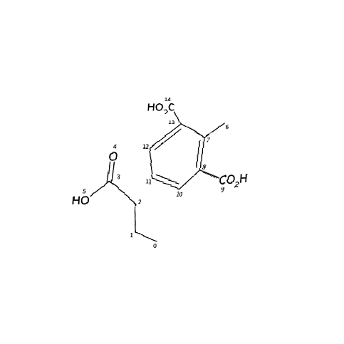 CCCC(=O)O.Cc1c(C(=O)O)cccc1C(=O)O